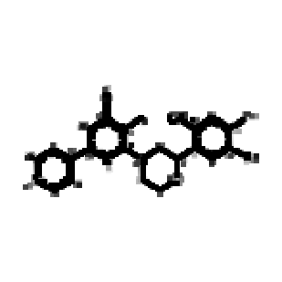 Cn1c(N2CCOC(c3cc(F)c(F)cc3Cl)C2)nc(-c2ccncc2)cc1=O